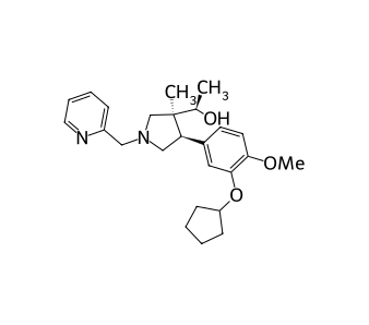 COc1ccc([C@H]2CN(Cc3ccccn3)C[C@@]2(C)[C@@H](C)O)cc1OC1CCCC1